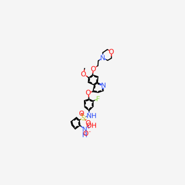 COc1cc2c(Oc3ccc(NS(=O)(=O)c4ccccc4[NH+]([O-])O)cc3F)ccnc2cc1OCCN1CCOCC1